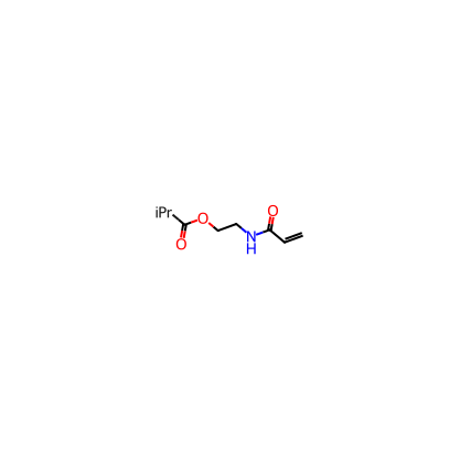 C=CC(=O)NCCOC(=O)C(C)C